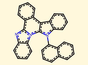 c1ccc2c(-n3c4ccccc4c4c5ccccc5c5nc6ccccc6n5c43)cccc2c1